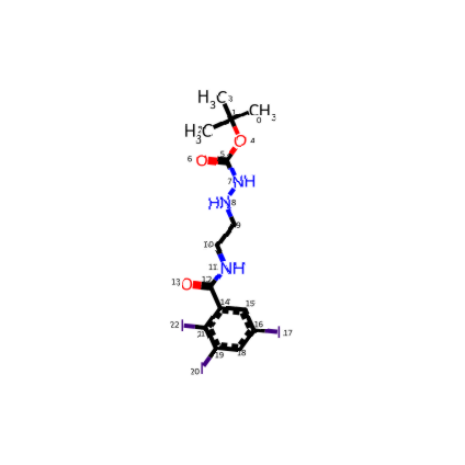 CC(C)(C)OC(=O)NNCCNC(=O)c1cc(I)cc(I)c1I